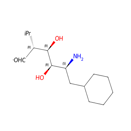 CC(C)[C@@H]([C]=O)[C@@H](O)[C@H](O)[C@@H](N)CC1CCCCC1